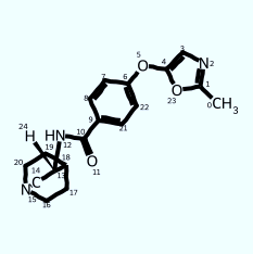 Cc1ncc(Oc2ccc(C(=O)N[C@H]3CN4CCC3CC4)cc2)o1